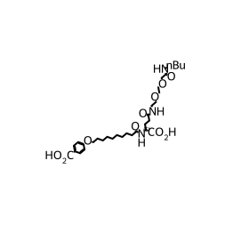 CCCCNC(=O)COCCOCCNC(=O)CC[C@H](NC(=O)CCCCCCCCCOc1ccc(C(=O)O)cc1)C(=O)O